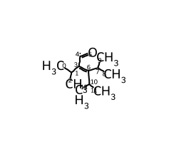 CC(C)C([C]=O)=C(C(C)C)C(C)C